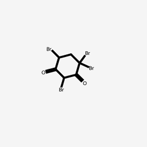 O=C1C(Br)CC(Br)(Br)C(=O)C1Br